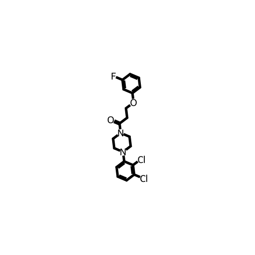 O=C(CCOc1cccc(F)c1)N1CCN(c2cccc(Cl)c2Cl)CC1